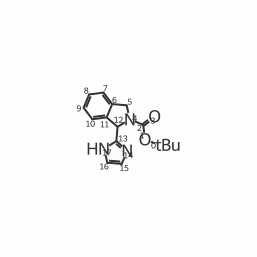 CC(C)(C)OC(=O)N1Cc2ccccc2C1c1ncc[nH]1